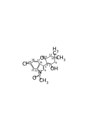 CC(=O)n1cc(C2=C(O)CC(C)(C)CC2=O)c2ccc(Cl)cc21